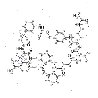 C/C(=C\[C@H](C(C)C)N(C)C(=O)[C@@H](NC(=O)CC(C)(C)c1cccc(NC(=O)OCc2ccc(NC(=O)[C@H](CCCNC(N)=O)NC(=O)[C@@H](NC(=O)CCC(=O)N3Cc4ccccc4C#Cc4ccccc43)C(C)C)cc2)c1)C(C)(C)C)C(=O)O